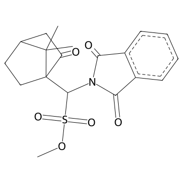 COS(=O)(=O)C(N1C(=O)c2ccccc2C1=O)C12CCC(CC1=O)C2(C)C